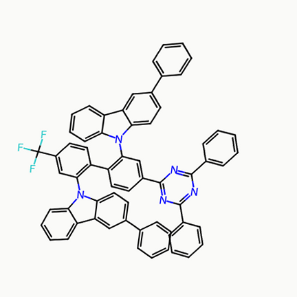 FC(F)(F)c1ccc(-c2ccc(-c3nc(-c4ccccc4)nc(-c4ccccc4)n3)cc2-n2c3ccccc3c3cc(-c4ccccc4)ccc32)c(-n2c3ccccc3c3cc(-c4ccccc4)ccc32)c1